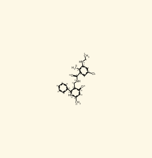 CCNc1cc(Cl)cc(C(=O)NCc2c(-c3ccccc3)[nH]c(C)cc2=O)c1C